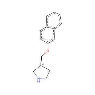 c1ccc2cc(OC[C@H]3CCNC3)ccc2c1